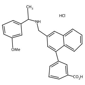 COc1cccc(C(C)NCc2cc(-c3cccc(C(=O)O)c3)c3ccccc3c2)c1.Cl